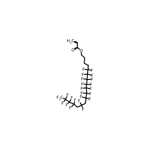 C=CC(=O)OCCCCC(F)(F)C(F)(F)C(F)(F)C(F)(F)C(F)(F)C(F)(F)C(F)(F)CC(F)(F)CC(F)(F)C(F)(F)C(F)(F)C(F)(F)F